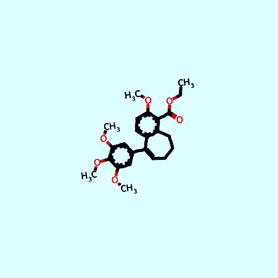 CCOC(=O)c1c(OC)ccc2c1CCCC=C2c1cc(OC)c(OC)c(OC)c1